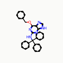 c1ccc(COc2nc(NC(c3ccccc3)(c3ccccc3)c3ccccc3)nc3[nH]cnc23)cc1